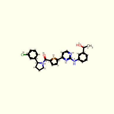 CC(O)c1cccc(Nc2nccc(-c3ccc(C(=O)N4CCCC4c4cccc(Cl)c4)s3)n2)c1